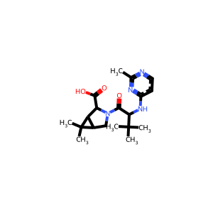 Cc1nccc(NC(C(=O)N2CC3C(C2C(=O)O)C3(C)C)C(C)(C)C)n1